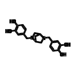 Oc1ccc(CN2CC3CC2CN3Cc2ccc(O)c(O)c2)cc1O